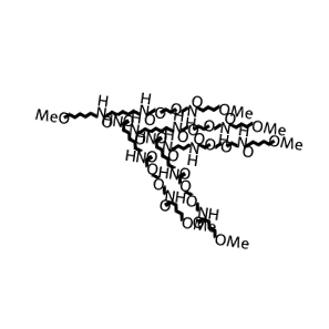 COCCCCCCNC(=O)CC(CCCCNC(=O)COCCOCCNC(=O)CCCCOC)NC(=O)CC(CCCCNC(=O)COCCOCCNC(=O)CCCCOC)NC(=O)CC(CCCCNC(=O)COCCOCCNC(=O)CCCCOC)NC(=O)CC(CCCCNC(=O)COCCOCCNC(=O)CCCCOC)NC(=O)CCCNC(=O)COCCOCCNC(=O)CCCCOC